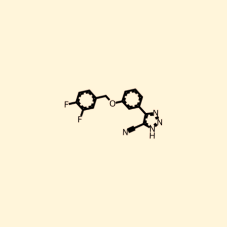 N#Cc1[nH]nnc1-c1cccc(OCc2ccc(F)c(F)c2)c1